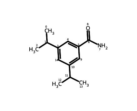 CC(C)c1cc(C(N)=O)cc(C(C)C)c1